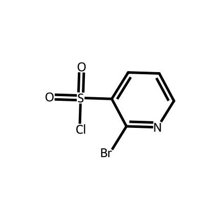 O=S(=O)(Cl)c1cccnc1Br